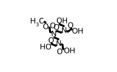 CCOC(=O)CN(CCN(CC(=O)O)CC(=O)O)CCN(CC(=O)O)CC(=O)O